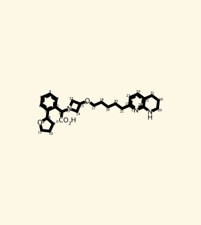 O=C(O)C(c1ccccc1C1CCCO1)N1CC(OCCCCCc2ccc3c(n2)NCCC3)C1